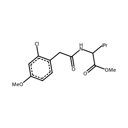 COC(=O)C(NC(=O)Cc1ccc(OC)cc1Cl)C(C)C